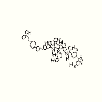 Cc1ncsc1-c1ccc(C(C)NC(=O)[C@@H]2C[C@@H](O)CN2C(=O)C(NC(=O)COCCOc2ccc(CCC(=O)O)cc2)C(C)(C)C)cc1